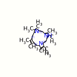 CC1=C(C)/C2=C/c3[nH]c(c(C)c3C)/C=C3N=C(/C=C4\C/C(=C\C1=N2)C(C)=C4C)C(C)=C\3C